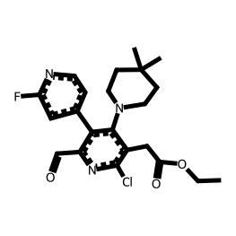 CCOC(=O)Cc1c(Cl)nc(C=O)c(-c2ccnc(F)c2)c1N1CCC(C)(C)CC1